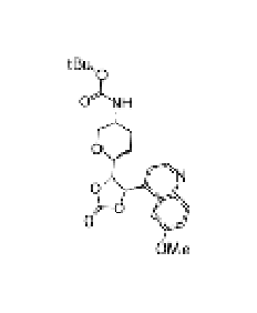 COc1ccc2nccc([C@H]3OC(=O)O[C@@H]3[C@@H]3CC[C@@H](NC(=O)OC(C)(C)C)CO3)c2c1